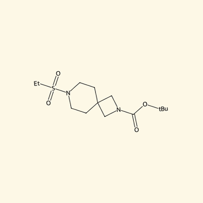 CCS(=O)(=O)N1CCC2(CC1)CN(C(=O)OC(C)(C)C)C2